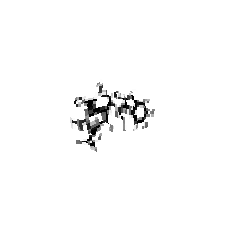 CN1C(=O)[C@@]2(C[C@H]2c2cn(C)c(=O)c3[nH]c(C4CC4)cc23)c2ccccc21